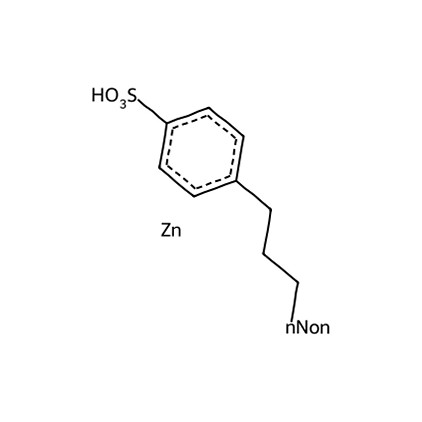 CCCCCCCCCCCCc1ccc(S(=O)(=O)O)cc1.[Zn]